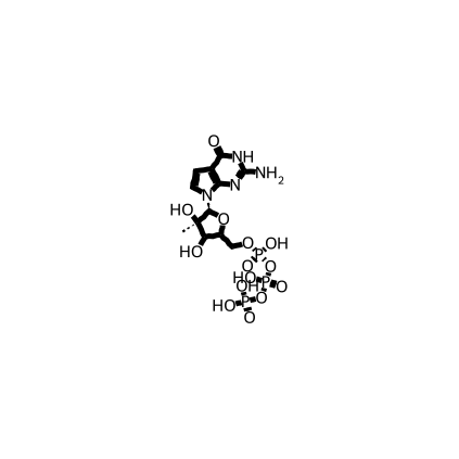 C[C@@]1(O)C(O)C(COP(=O)(O)OP(=O)(O)OP(=O)(O)O)O[C@H]1n1ccc2c(=O)[nH]c(N)nc21